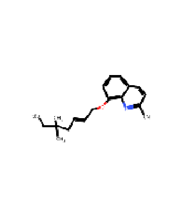 CC(C)(C)CC(C)(C)CC=CCOc1cccc2ccc(C#N)nc12